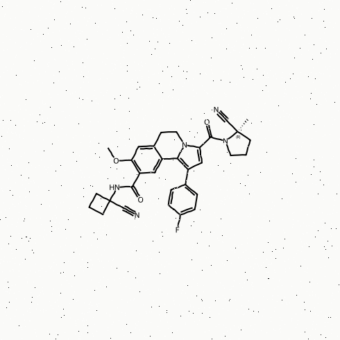 COc1cc2c(cc1C(=O)NC1(C#N)CCC1)-c1c(-c3ccc(F)cc3)cc(C(=O)N3CCC[C@]3(C)C#N)n1CC2